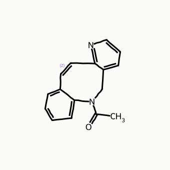 CC(=O)N1Cc2cccnc2/C=C\c2ccccc21